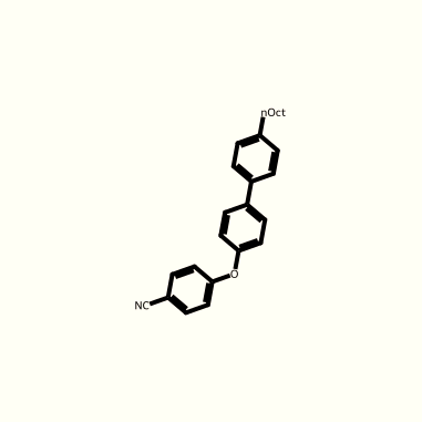 CCCCCCCCc1ccc(-c2ccc(Oc3ccc(C#N)cc3)cc2)cc1